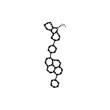 Cn1c2ccccc2c2cc(-c3ccc(-c4ccc5ccc6c(-c7ccccc7)ccc7ccc4c5c76)cc3)ccc21